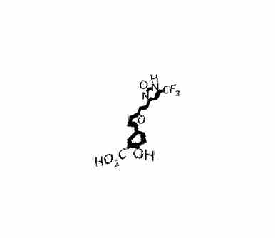 O=C(O)c1cc(-c2ccc(C=Cc3cc(C(F)(F)F)[nH]c(=O)n3)o2)ccc1O